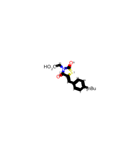 CCCCc1ccc(/C=C2\SC(=O)N(CC(=O)O)C2=O)cc1